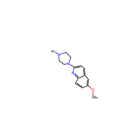 CCCCOc1ccc2nc(N3CCN(C(C)=O)CC3)ccc2c1